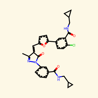 CC1=NN(c2cccc(C(=O)NCC3CC3)c2)C(=O)C1=Cc1ccc(-c2ccc(Cl)c(C(=O)NCC3CC3)c2)o1